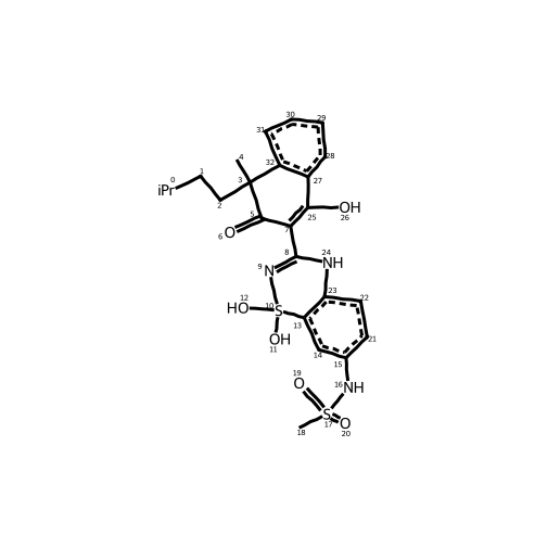 CC(C)CCC1(C)C(=O)C(C2=NS(O)(O)c3cc(NS(C)(=O)=O)ccc3N2)=C(O)c2ccccc21